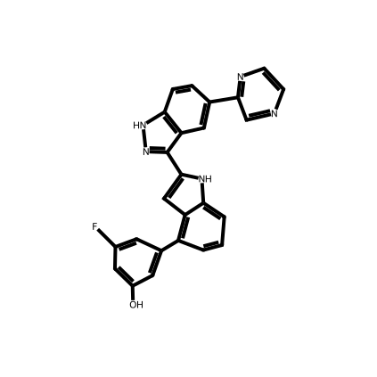 Oc1cc(F)cc(-c2cccc3[nH]c(-c4n[nH]c5ccc(-c6cnccn6)cc45)cc23)c1